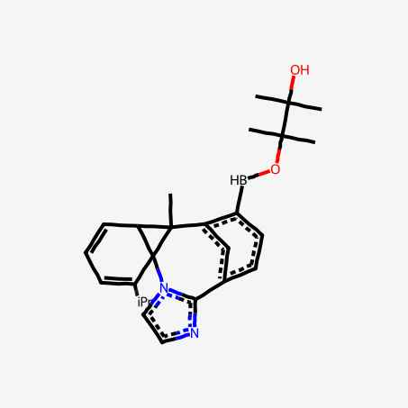 CC(C)C1=CC=CC2C3(C)c4cc(ccc4BOC(C)(C)C(C)(C)O)-c4nccn4C123